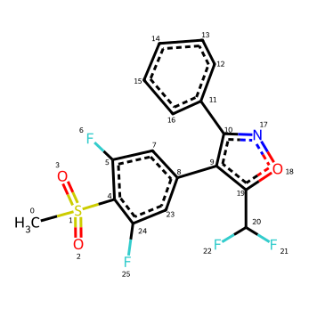 CS(=O)(=O)c1c(F)cc(-c2c(-c3ccccc3)noc2C(F)F)cc1F